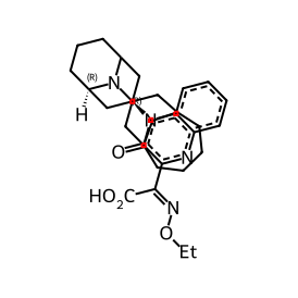 CCON=C(C(=O)O)c1nc2ccccc2n([C@@H]2CC3CCC[C@H](C2)N3C2CC3CCCCC(C3)C2)c1=O